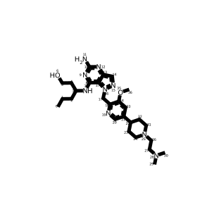 CCCC(CCO)Nc1nc(N)nc2cnn(Cc3ncc(C4CCN(CCN(C)C)CC4)cc3OC)c12